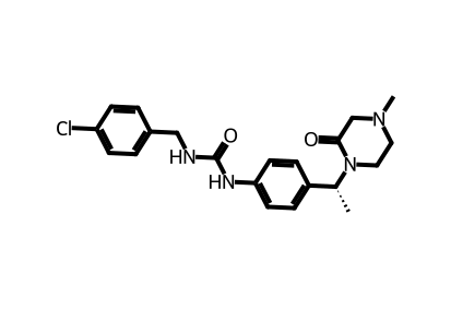 C[C@H](c1ccc(NC(=O)NCc2ccc(Cl)cc2)cc1)N1CCN(C)CC1=O